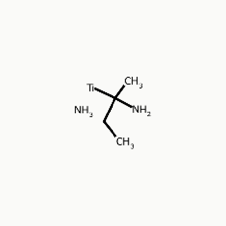 CC[C](C)(N)[Ti].N